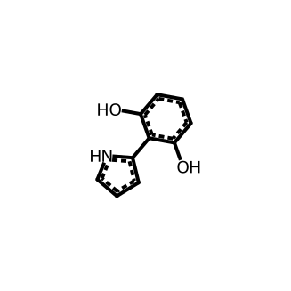 Oc1cccc(O)c1-c1ccc[nH]1